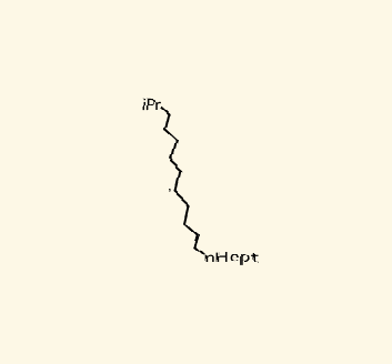 CCCCCCCCCCC[CH]CCCCCC(C)C